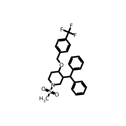 CS(=O)(=O)N1CCC(OCc2ccc(C(F)(F)F)cc2)C(C(c2ccccc2)c2ccccc2)C1